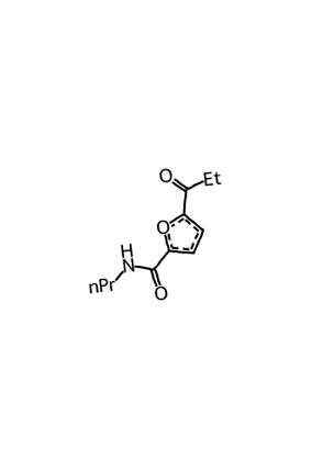 CCCNC(=O)c1ccc(C(=O)CC)o1